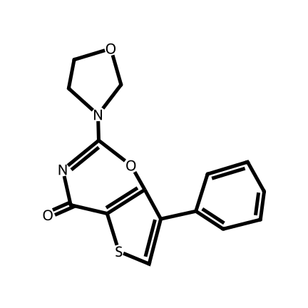 O=c1nc(N2CCOC2)oc2c(-c3ccccc3)csc12